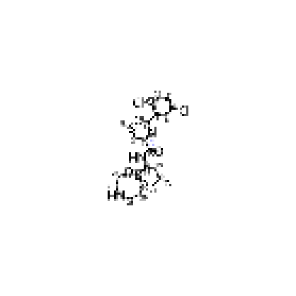 CSC/C(=N\C(=O)c1cc(Cl)ccc1Cl)C(=O)N[C@@H](CC(C)C)B1OCCNCCO1